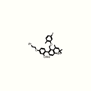 COc1cc(OCCC(C)C)ccc1-c1ccc2c(c1COc1cc(F)ccc1C)C(C)=CC(C)(C)N2